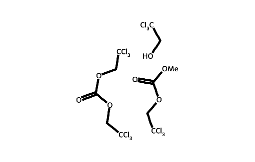 COC(=O)OCC(Cl)(Cl)Cl.O=C(OCC(Cl)(Cl)Cl)OCC(Cl)(Cl)Cl.OCC(Cl)(Cl)Cl